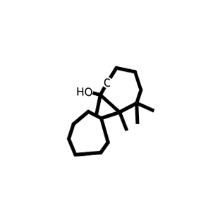 CC1(C)CCCCC(C)(O)C1(C)C1CCCCCC1